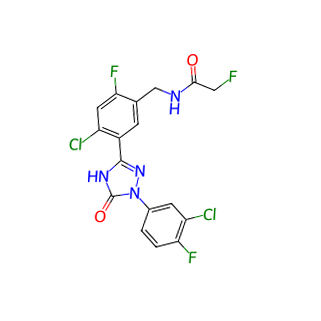 O=C(CF)NCc1cc(-c2nn(-c3ccc(F)c(Cl)c3)c(=O)[nH]2)c(Cl)cc1F